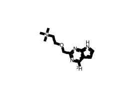 [2H]c1nc(COCC[Si](C)(C)C)nc2[nH]ccc12